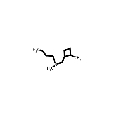 CCCCN(C)CC1CCC1C